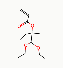 C=CC(=O)OC(C)(CC)C(OCC)OCC